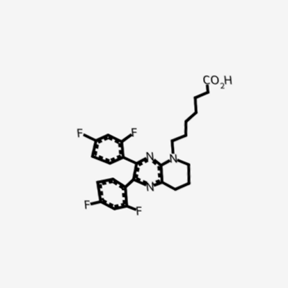 O=C(O)CCCCCCN1CCCc2nc(-c3ccc(F)cc3F)c(-c3ccc(F)cc3F)nc21